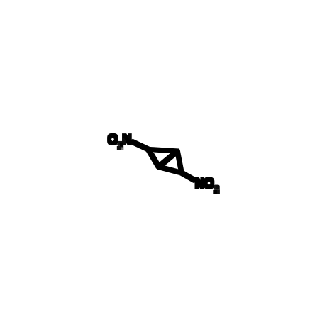 O=[N+]([O-])C1C2C1C2[N+](=O)[O-]